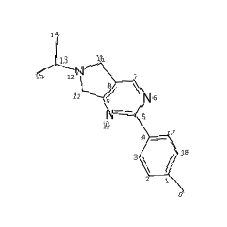 Cc1ccc(-c2ncc3c(n2)CN(C(C)C)C3)cc1